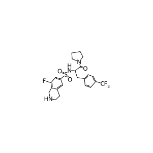 O=C(C(Cc1ccc(C(F)(F)F)cc1)NS(=O)(=O)c1cc(F)c2c(c1)CCNC2)N1CCCC1